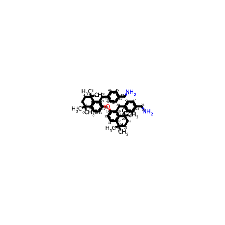 CC1(C)CCC(C)(C)c2c1ccc(Oc1ccc3c(c1Cc1ccc(CN)cc1)C(C)(C)CCC3(C)C)c2Cc1ccc(CN)cc1